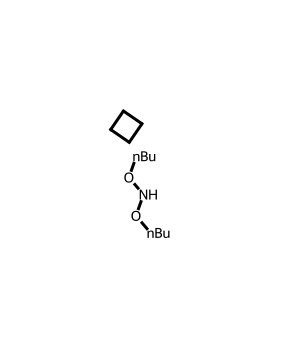 C1CCC1.CCCCONOCCCC